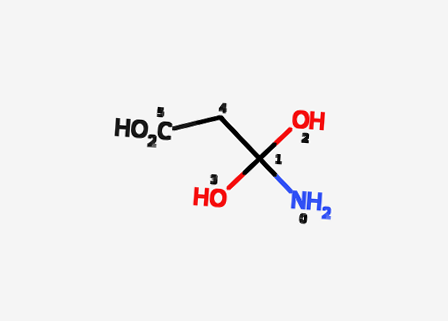 NC(O)(O)CC(=O)O